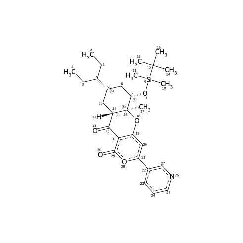 CCC(CC)[C@@H]1C[C@H](O[Si](C)(C)C(C)(C)C)[C@@]2(C)Oc3cc(-c4cccnc4)oc(=O)c3C(=O)[C@@H]2C1